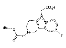 CC(C)(C)OC(=O)ON1CCc2c(c3cc(F)ccc3n2CC(=O)O)C1